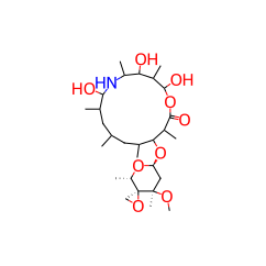 CO[C@]1(C)C[C@H](OC2C(C)CC(C)CC(C)C(O)NC(C)C(O)C(C)C(O)OC(=O)C2C)O[C@@H](C)[C@@]12CO2